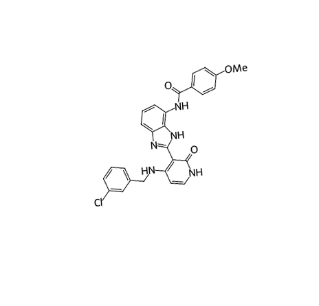 COc1ccc(C(=O)Nc2cccc3nc(-c4c(NCc5cccc(Cl)c5)cc[nH]c4=O)[nH]c23)cc1